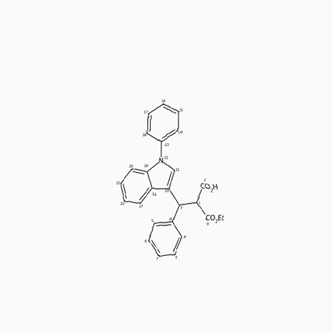 CCOC(=O)C(C(=O)O)C(c1ccccc1)c1cn(-c2ccccc2)c2ccccc12